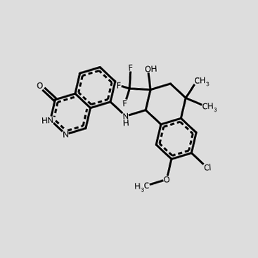 COc1cc2c(cc1Cl)C(C)(C)CC(O)(C(F)(F)F)C2Nc1cccc2c(=O)[nH]ncc12